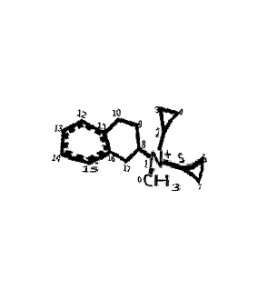 C[N+](C1CC1)(C1CC1)C1CCc2ccc[c]c2C1